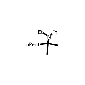 CCCCCC(C)(C)N(CC)CC